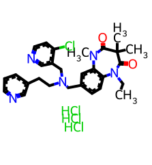 CCN1C(=O)C(C)(C)C(=O)N(C)c2cc(CN(CCc3cccnc3)Cc3cnccc3Cl)ccc21.Cl.Cl.Cl